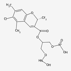 Cc1cc2c(c(C)c1Cl)C=C(C(=O)OC(CONO)CO[N+](=O)O)[C@@H](C(F)(F)F)O2